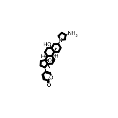 C[C@]12CC[C@H](N3CC[C@H](N)C3)C[C@@]1(O)CC[C@@H]1[C@@H]2CC[C@]2(C)[C@@H](c3ccc(=O)oc3)CC[C@]12O